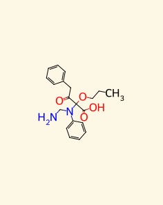 CCCOC(C(=O)O)(C(=O)Cc1ccccc1)N(CN)c1ccccc1